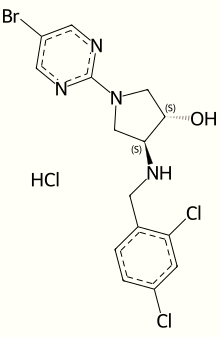 Cl.O[C@H]1CN(c2ncc(Br)cn2)C[C@@H]1NCc1ccc(Cl)cc1Cl